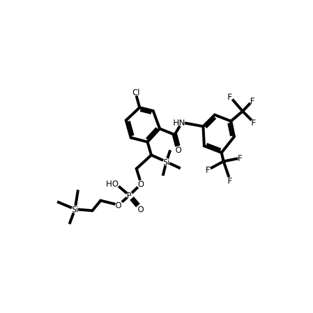 C[Si](C)(C)CCOP(=O)(O)OCC(c1ccc(Cl)cc1C(=O)Nc1cc(C(F)(F)F)cc(C(F)(F)F)c1)[Si](C)(C)C